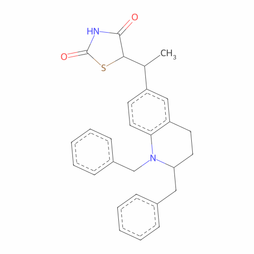 CC(c1ccc2c(c1)CCC(Cc1ccccc1)N2Cc1ccccc1)C1SC(=O)NC1=O